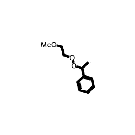 [CH2]C(OOCCOC)c1ccccc1